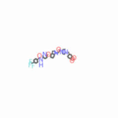 O=C(Nc1ccc(Oc2cccc3c2CCN3CC(=O)N2CCN(Cc3ccc4c(c3)OCO4)CC2)nc1)c1ccc(C(F)(F)F)cc1